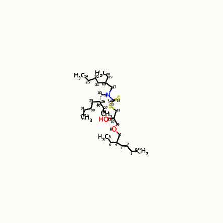 CCCCC(CC)COCC(O)CSC(=S)N(CC(CC)CCCC)C[C@H](CC)CCCC